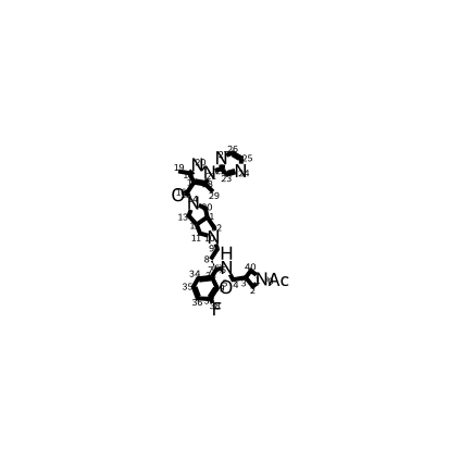 CC(=O)N1CC(C(=O)N[C@@H](CCN2CC3CN(C(=O)c4c(C)nn(-c5cnccn5)c4C)CC3C2)c2cccc(F)c2)C1